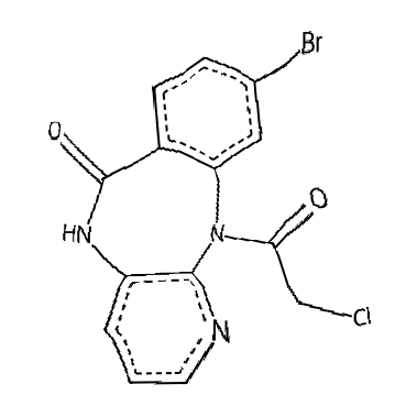 O=C1Nc2cccnc2N(C(=O)CCl)c2cc(Br)ccc21